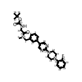 CN(Cc1cccc(-c2cnc(N3CCN(c4ccccc4F)CC3)nc2)c1)C(=O)CNC(=O)OC(C)(C)C